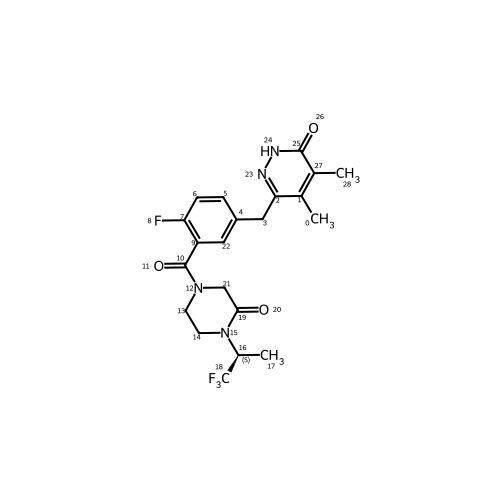 Cc1c(Cc2ccc(F)c(C(=O)N3CCN([C@@H](C)C(F)(F)F)C(=O)C3)c2)n[nH]c(=O)c1C